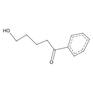 O=C(CCCCO)c1ccccc1